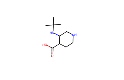 CC(C)(C)NC1CNCCC1C(=O)O